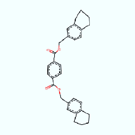 O=C(OCc1ccc2c(c1)CCCC2)c1ccc(C(=O)OCc2ccc3c(c2)CCCC3)cc1